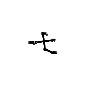 CCCCOC(N)(C(=O)O)C(C)C